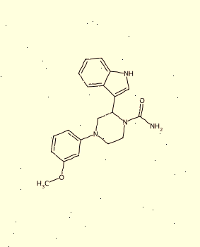 COc1cccc(N2CCN(C(N)=O)C(c3c[nH]c4ccccc34)C2)c1